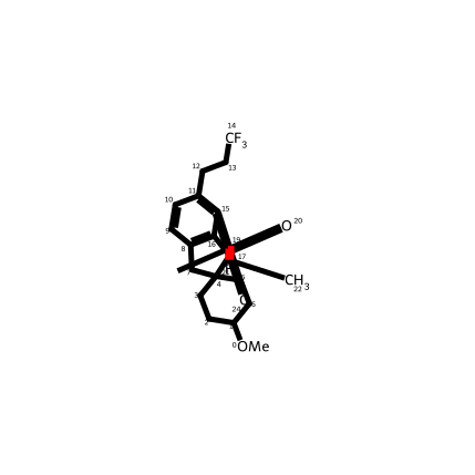 COC1CCC2(CC1)Cc1ccc(CCC(F)(F)F)cc1C21NC(=O)N(C)C1=O